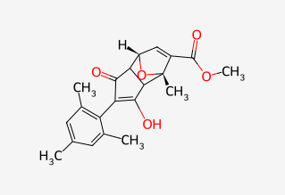 COC(=O)C1=C[C@@H]2O[C@@]1(C)C1C(O)=C(c3c(C)cc(C)cc3C)C(=O)C12